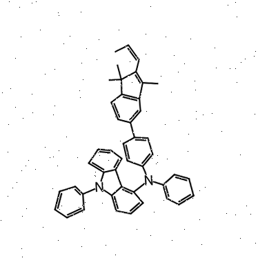 C/C=C\C1=C(C)c2cc(-c3ccc(N(c4ccccc4)c4cccc5c4c4ccccc4n5-c4ccccc4)cc3)ccc2C1(C)C